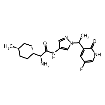 C[C@@H](c1cc(F)c[nH]c1=O)n1cc(NC(=O)[C@@H](N)[C@H]2CC[C@H](C)CC2)cn1